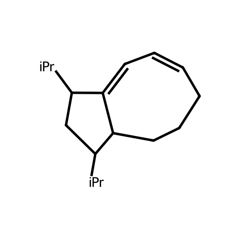 CC(C)C1CC(C(C)C)C2CCCC=CC=C12